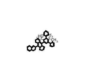 CC1=C(C2C=CC=CC2C)C=C(C2=C3C=CCCC3=C(C3C=C4C=CC=CC4CC3)C3CCC=CC23)C(C)C1c1ccccc1O